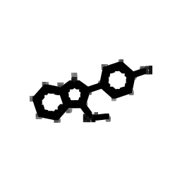 CNc1c(-c2ccc(Cl)cc2)sc2ccccc12